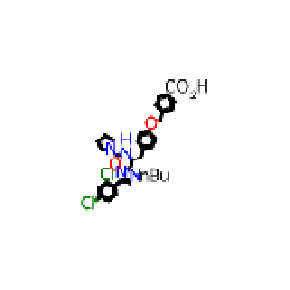 CCCCn1cc(-c2ccc(Cl)cc2Cl)nc1[C@H](Cc1ccc(OCc2ccc(C(=O)O)cc2)cc1)NC(=O)N1CCCC1